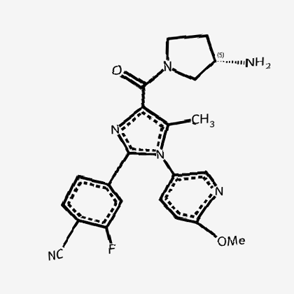 COc1ccc(-n2c(-c3ccc(C#N)c(F)c3)nc(C(=O)N3CC[C@H](N)C3)c2C)cn1